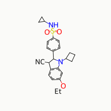 CCOc1ccc2c(c1)N(C1CCC1)C(c1ccc(S(=O)(=O)NC3CC3)cc1)C2C#N